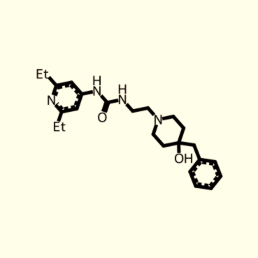 CCc1cc(NC(=O)NCCN2CCC(O)(Cc3ccccc3)CC2)cc(CC)n1